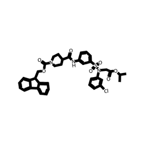 CC(C)OC(=O)CN(c1cccc(Cl)c1)S(=O)(=O)c1cccc(NC(=O)C2CCN(C(=O)OCC3c4ccccc4-c4ccccc43)CC2)c1